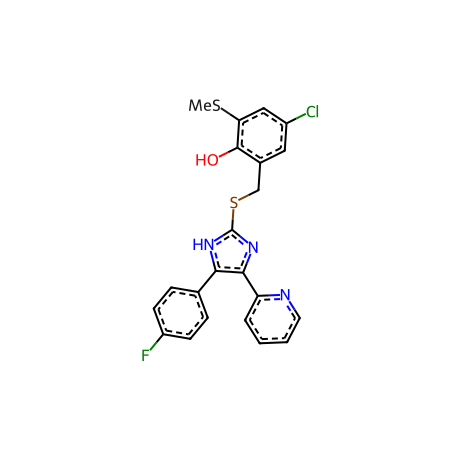 CSc1cc(Cl)cc(CSc2nc(-c3ccccn3)c(-c3ccc(F)cc3)[nH]2)c1O